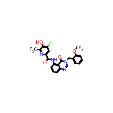 O=C(Nc1cccc2ncn(Cc3ccccc3OC(F)(F)F)c(=O)c12)c1cc(Cl)c(O)c(C(F)(F)F)n1